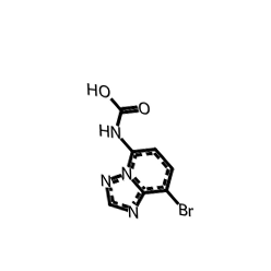 O=C(O)Nc1ccc(Br)c2ncnn12